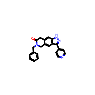 O=C1Cc2cc3[nH]nc(-c4ccncc4)c3cc2CN1Cc1ccccc1